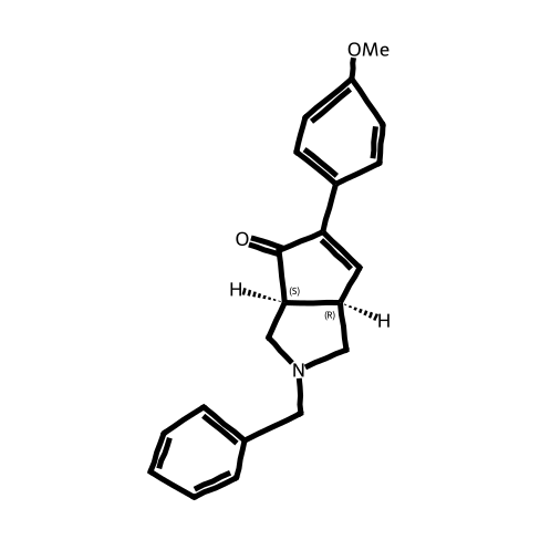 COc1ccc(C2=C[C@H]3CN(Cc4ccccc4)C[C@H]3C2=O)cc1